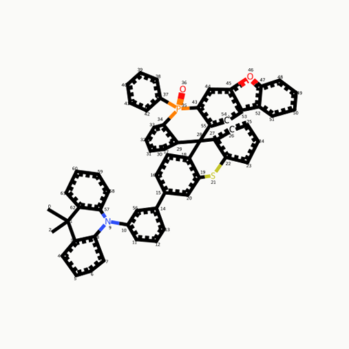 CC1(C)c2ccccc2N(c2cccc(-c3ccc4c(c3)Sc3ccccc3C43c4ccccc4P(=O)(c4ccccc4)c4cc5oc6ccccc6c5cc43)c2)c2ccccc21